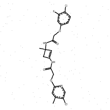 Cc1cc(OCC(=O)NC2=CC(C)(NC(=O)COc3ccc(Cl)c(F)c3)C2)ncc1Cl